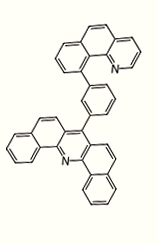 c1cc(-c2c3ccc4ccccc4c3nc3c2ccc2ccccc23)cc(-c2cccc3ccc4cccnc4c23)c1